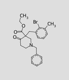 CCOC(=O)C1(Cc2cccc(C)c2Br)CN(Cc2ccccc2)CCC1=O